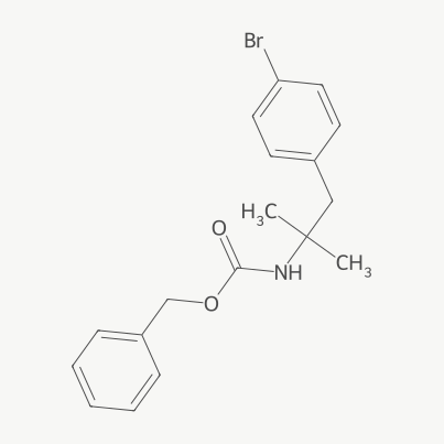 CC(C)(Cc1ccc(Br)cc1)NC(=O)OCc1ccccc1